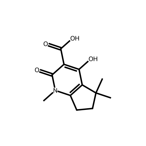 Cn1c2c(c(O)c(C(=O)O)c1=O)C(C)(C)CC2